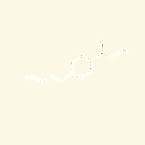 C=CC=Cc1ccc(C(=O)C=C)cc1